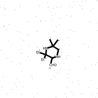 CCC1(CC)NC(C)(C)CNC1C=O